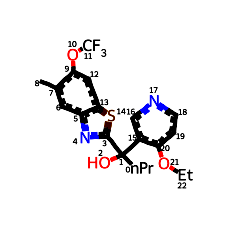 CCCC(O)(c1nc2cc(C)c(OC(F)(F)F)cc2s1)c1cnccc1OCC